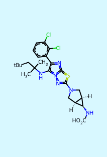 CC(C)(C)CC(C)(C)Nc1c(-c2cccc(Cl)c2Cl)nc2sc(N3C[C@@H]4[C@H](C3)[C@@H]4NC(=O)O)nn12